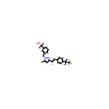 Cc1cc(/C(F)=C/c2ccc(C(C)(C)C(F)(F)F)cc2)nn1Cc1cccc(C(C)(C)O)c1